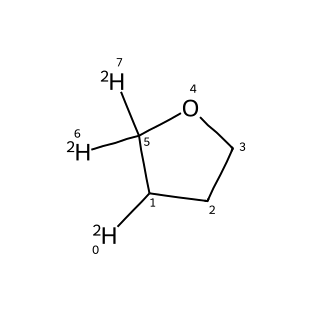 [2H]C1CCOC1([2H])[2H]